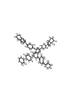 c1ccc(-c2ccc(-c3cc(-c4ccc(-c5ccccc5)cc4)c4nc(-c5ccc(-c6nc7ccccc7o6)cc5)nc(-c5ccc(-c6nc7ccccc7o6)cc5)c4c3)cc2)cc1